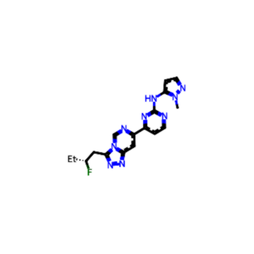 CC[C@@H](F)Cc1nnc2cc(-c3ccnc(Nc4ccnn4C)n3)ncn12